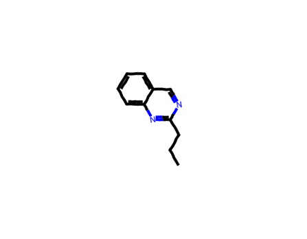 CCCc1ncc2ccccc2n1